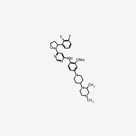 COc1cc(N2CCC(N3CCN(C)CC3C)CC2)ccc1Nc1cc(N2OCCC2c2cccc(F)c2F)ncn1